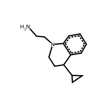 NCCN1CCC(C2CC2)c2ccccc21